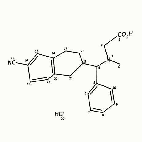 CN(CC(=O)O)C(c1ccccc1)C1CCc2cc(C#N)ccc2C1.Cl